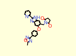 Cc1nc(-c2ccc(Oc3cc4nc(-c5ccccn5)[nH]c4cc3CN3C(=O)CCC3=O)cc2)no1